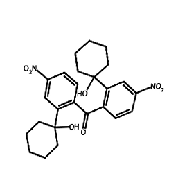 O=C(c1ccc([N+](=O)[O-])cc1C1(O)CCCCC1)c1ccc([N+](=O)[O-])cc1C1(O)CCCCC1